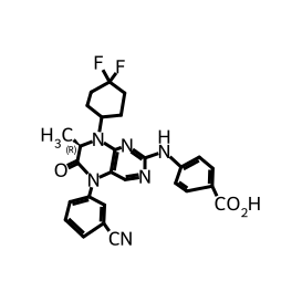 C[C@@H]1C(=O)N(c2cccc(C#N)c2)c2cnc(Nc3ccc(C(=O)O)cc3)nc2N1C1CCC(F)(F)CC1